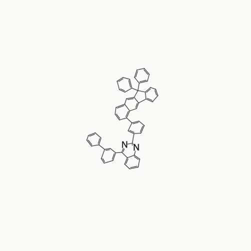 c1ccc(-c2cccc(-c3nc(-c4cccc(-c5cccc6cc7c(cc56)-c5ccccc5C7(c5ccccc5)c5ccccc5)c4)nc4ccccc34)c2)cc1